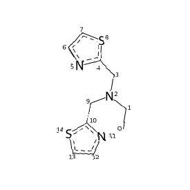 CCN(Cc1nccs1)Cc1nccs1